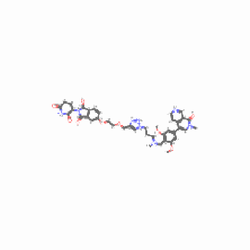 COc1cc(-c2cn(C)c(=O)c3cnccc23)cc(OC)c1CN(C)CCCn1cc(COCCOc2ccc3c(c2)C(=O)N(C2CCC(=O)NC2=O)C3=O)nn1